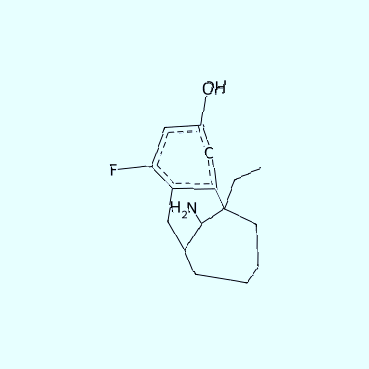 CCC12CCCCC(Cc3c(F)cc(O)cc31)C2N